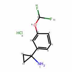 Cl.NC1(c2cccc(OC(F)F)c2)CC1